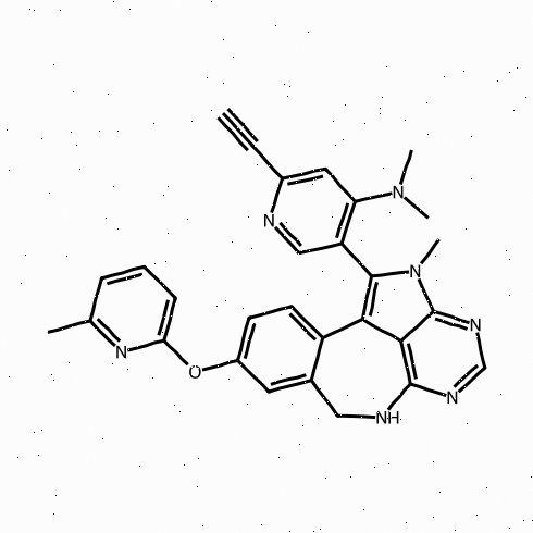 C#Cc1cc(N(C)C)c(-c2c3c4c(ncnc4n2C)NCc2cc(Oc4cccc(C)n4)ccc2-3)cn1